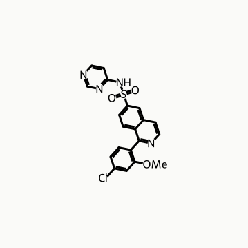 COc1cc(Cl)ccc1-c1nccc2cc(S(=O)(=O)Nc3ccncn3)ccc12